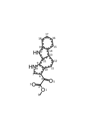 COC(=O)C(=O)c1c[nH]c2c1ccc1c3ccccc3[nH]c12